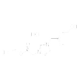 CCOC(=O)CN1C=CN(CC(=O)OCC)C1.Cl